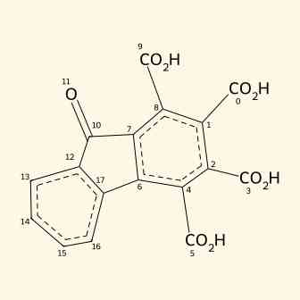 O=C(O)c1c(C(=O)O)c(C(=O)O)c2c(c1C(=O)O)C(=O)c1ccccc1-2